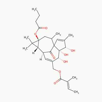 C/C=C(\C)C(=O)OCC1=C[C@@H]2C(=O)C3(C=C(C)[C@H](O)[C@@]3(O)[C@@H]1O)C(C)C[C@]1(OC(=O)CCC)[C@H]2C1(C)C